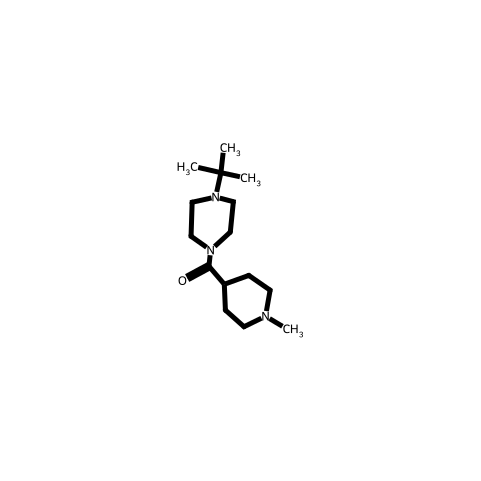 CN1CCC(C(=O)N2CCN(C(C)(C)C)CC2)CC1